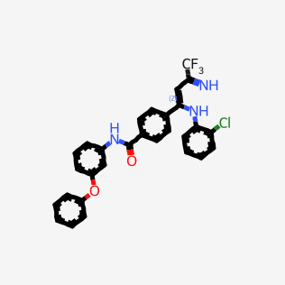 N=C(/C=C(\Nc1ccccc1Cl)c1ccc(C(=O)Nc2cccc(Oc3ccccc3)c2)cc1)C(F)(F)F